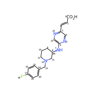 O=C(O)C=Cc1cnc(N[C@@H]2CCCN(Cc3ccc(F)cc3)C2)cn1